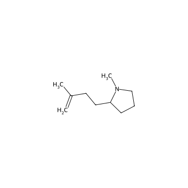 C=C(C)CCC1CCCN1C